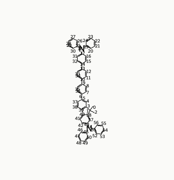 CC1(C)c2cc(-c3ccc(-c4ccc(-c5ccc(N(c6ccccc6)c6ccccc6)cc5)cc4)cc3)ccc2-c2ccc(N(c3ccccc3)c3ccccc3)cc21